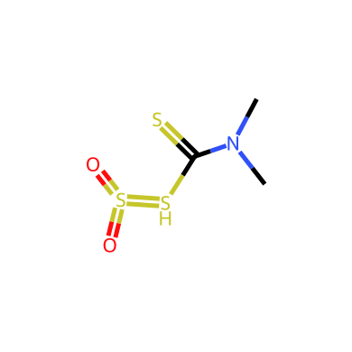 CN(C)C(=S)[SH]=S(=O)=O